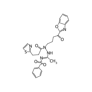 CC(=NS(=O)(=O)c1ccccc1)NN(CCCC(=O)c1nc2ccccc2o1)C(=O)CCc1nccs1